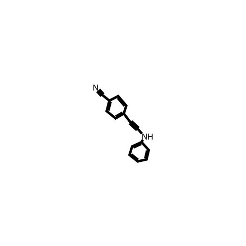 N#Cc1ccc(C#CNc2ccccc2)cc1